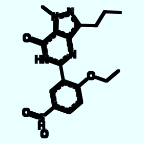 CCCc1nn(C)c2c(=O)[nH]c(-c3cc([SH](=O)=O)ccc3OCC)nc12